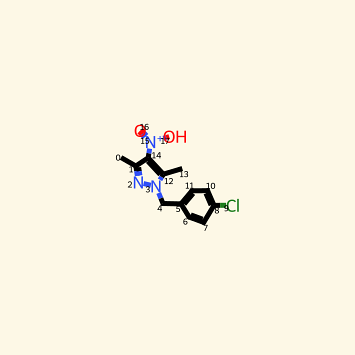 Cc1nn(Cc2ccc(Cl)cc2)c(C)c1[N+](=O)O